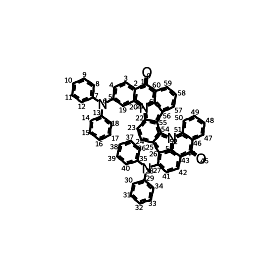 O=c1c2ccc(N(c3ccccc3)c3ccccc3)cc2n2c3ccc4c5c(N(c6ccccc6)c6ccccc6)ccc6c(=O)c7ccccc7n(c65)c4c3c3cccc1c32